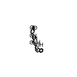 CS(=O)(=O)N1CCC(Oc2cc(C(=O)NCC(O)CN3CCc4ccccc4C3)ncn2)CC1